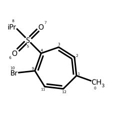 CC1=C=CC(S(=O)(=O)C(C)C)=C(Br)C=C1